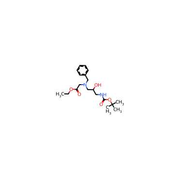 CCOC(=O)CN(Cc1ccccc1)CC(O)CNC(=O)OC(C)(C)C